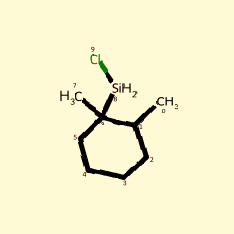 CC1CCCCC1(C)[SiH2]Cl